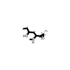 CCC(O)CC(NC)C1O[C@H]1C